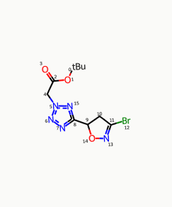 CC(C)(C)OC(=O)Cn1nnc(C2CC(Br)=NO2)n1